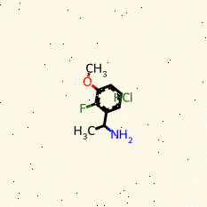 COc1cccc(C(C)N)c1F.Cl